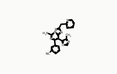 Cc1ncoc1-c1c(-c2cccc(C#N)c2)nc(N)n2nc(Cc3ccccn3)nc12